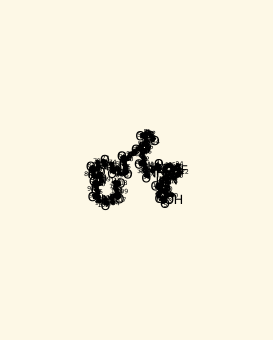 CC[C@@]1(O)C(=O)OCc2c1cc1n(c2=O)Cc2c-1nc1cc(F)c(C)c3c1c2[C@@H](NC(=O)[C@H](C)NC(=O)[C@H](C)NC(=O)CCc1ccc(N2C(=O)C=CC2=O)cc1OCCCC(=O)N(C)CC(=O)N(C)CC(=O)N(C)CC(=O)N(C)CC(=O)N(C)CC(=O)N(C)CC(=O)N(C)CC(=O)N(C)CC(=O)N(C)CC(=O)N(C)CC(C)=O)CC3